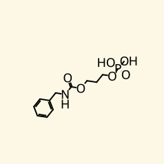 O=C(NCc1ccccc1)OCCCOP(=O)(O)O